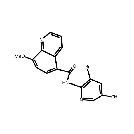 COc1ccc(C(=O)Nc2ncc(C)cc2Br)c2cccnc12